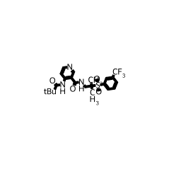 CC(C)(C)C(=O)Nc1ccncc1C(=O)NCC(C)(C)S(=O)(=O)c1cccc(C(F)(F)F)c1